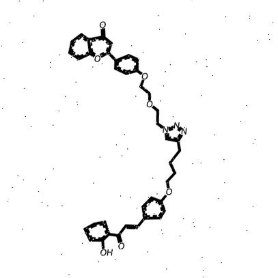 O=C(C=Cc1ccc(OCCCCc2cn(CCOCCOc3ccc(-c4cc(=O)c5ccccc5o4)cc3)nn2)cc1)c1ccccc1O